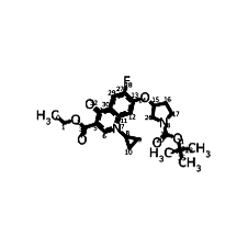 CCOC(=O)c1cn(C2CC2)c2cc(OC3CCN(C(=O)OC(C)(C)C)C3)c(F)cc2c1=O